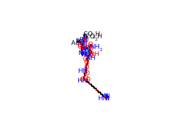 CCCC[C@H](NC(=O)[C@H](CNC(=O)CN(CC(=O)O)CC(=O)O)NC(=O)[C@H](Cc1c[nH]cn1)NC(=O)[C@H](CCC(N)=O)NC(=O)[C@H](CO)NC(=O)CNC(=O)COCCOCCNC(=O)CCCS(=O)(=O)NC(=O)CCCCCCCCCCCCCCCc1nnn[nH]1)C(C)=O